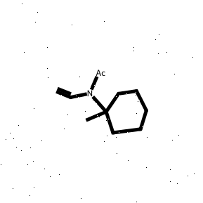 C=CN(C(C)=O)C1(C)CCCCC1